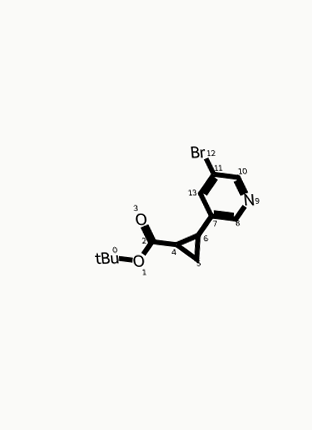 CC(C)(C)OC(=O)C1CC1c1cncc(Br)c1